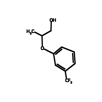 CC(CO)Oc1cccc(C(F)(F)F)c1